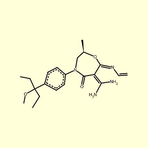 C=C/N=C1/O[C@H](C)CN(c2ccc(C(CC)(CC)OC)cc2)C(=O)C1=C(N)N